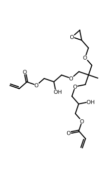 C=CC(=O)OCC(O)COCC(C)(COCC(O)COC(=O)C=C)COCC1CO1